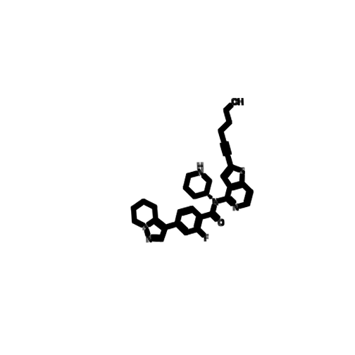 O=C(c1ccc(-c2cnn3c2CCCC3)cc1F)N(c1nccc2sc(C#CCCCO)cc12)[C@@H]1CCCNC1